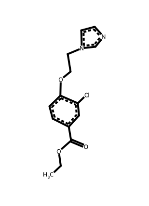 CCOC(=O)c1ccc(OCCn2ccnc2)c(Cl)c1